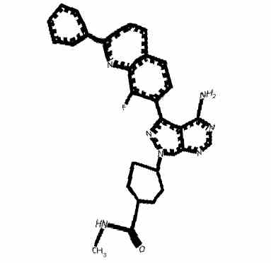 CNC(=O)C1CCC(n2nc(-c3ccc4ccc(-c5ccccc5)nc4c3F)c3c(N)ncnc32)CC1